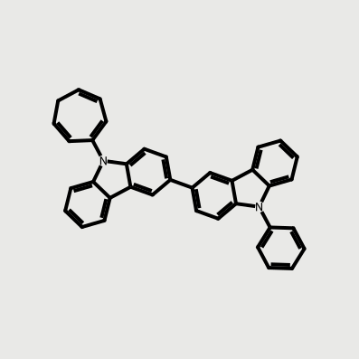 C1=CCC=CC(n2c3ccccc3c3cc(-c4ccc5c(c4)c4ccccc4n5-c4ccccc4)ccc32)=C1